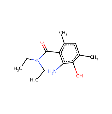 CCN(CC)C(=O)c1c(C)cc(C)c(O)c1N